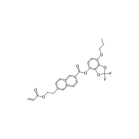 C=CC(=O)OCCc1ccc2cc(C(=O)Oc3ccc(OCCC)c4c3OC(F)(F)O4)ccc2c1